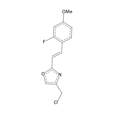 COc1ccc(C=Cc2nc(CCl)co2)c(F)c1